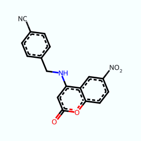 N#Cc1ccc(CNc2cc(=O)oc3ccc([N+](=O)[O-])cc23)cc1